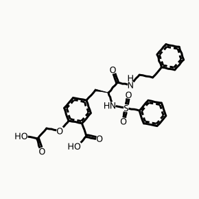 O=C(O)COc1ccc(C[C@H](NS(=O)(=O)c2ccccc2)C(=O)NCCc2ccccc2)cc1C(=O)O